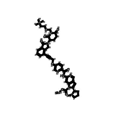 CN1CCC[C@@H]1c1cc2cnc(NC(=O)c3ccc(OCC#Cc4cccc5c4CN(C4CCC(=O)N(COCC[Si](C)(C)C)C4=O)C5=O)cn3)cc2n1C(=O)OC(C)(C)C